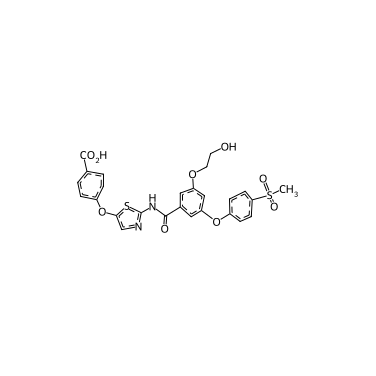 CS(=O)(=O)c1ccc(Oc2cc(OCCO)cc(C(=O)Nc3ncc(Oc4ccc(C(=O)O)cc4)s3)c2)cc1